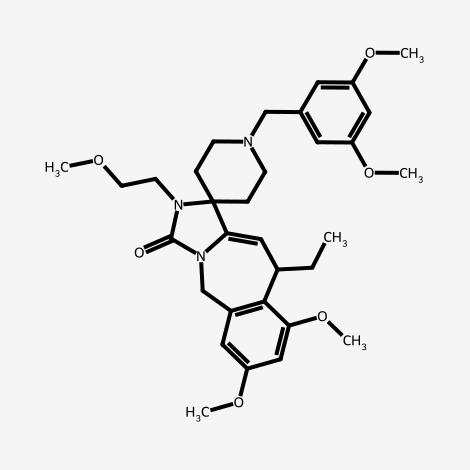 CCC1C=C2N(Cc3cc(OC)cc(OC)c31)C(=O)N(CCOC)C21CCN(Cc2cc(OC)cc(OC)c2)CC1